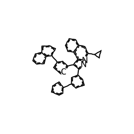 c1ccc(-c2cccc(-c3nn4c(C5CC5)cc5ccccc5c4c3-c3cccc(-c4cccc5ccccc45)c3)c2)cc1